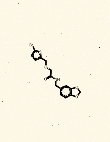 O=C(COCc1ccc(Br)s1)NCc1ccc2c(c1)OCO2